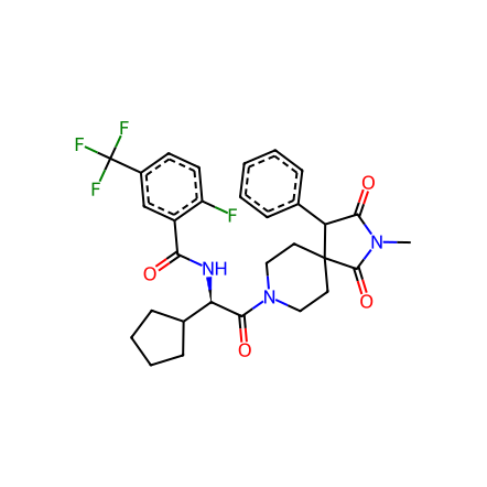 CN1C(=O)C(c2ccccc2)C2(CCN(C(=O)[C@H](NC(=O)c3cc(C(F)(F)F)ccc3F)C3CCCC3)CC2)C1=O